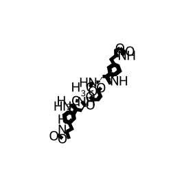 CN[C@H](Cc1c[nH]c2ccc(CC3COC(=O)N3)cc12)OC(=O)/C=C\C(=O)O[C@@H](Cc1c[nH]c2ccc(CC3COC(=O)N3)cc12)NC